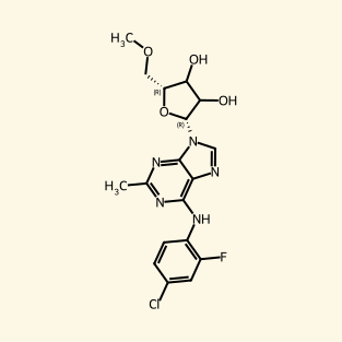 COC[C@H]1O[C@@H](n2cnc3c(Nc4ccc(Cl)cc4F)nc(C)nc32)C(O)C1O